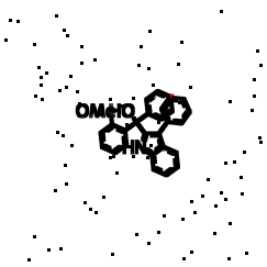 COc1ccccc1C(O)(c1ccccc1)c1[nH]c2ccccc2c1-c1ccccc1